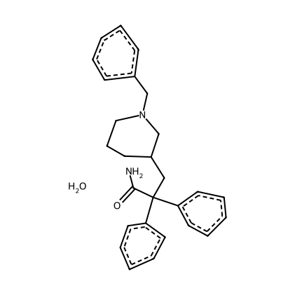 NC(=O)C(CC1CCCN(Cc2ccccc2)C1)(c1ccccc1)c1ccccc1.O